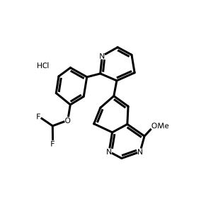 COc1ncnc2ccc(-c3cccnc3-c3cccc(OC(F)F)c3)cc12.Cl